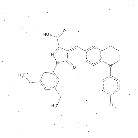 CCc1cc(CC)cc(N2N=C(C(=O)O)/C(=C/c3ccc4c(c3)CCCN4c3ccc(C)cc3)C2=O)c1